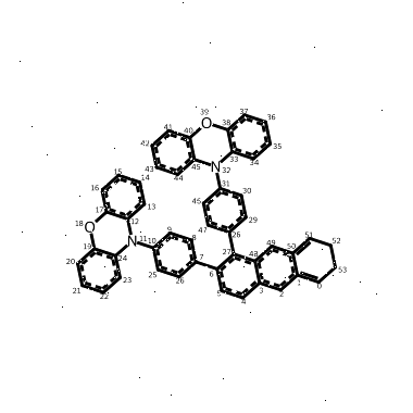 C1=c2cc3ccc(-c4ccc(N5c6ccccc6Oc6ccccc65)cc4)c(-c4ccc(N5c6ccccc6Oc6ccccc65)cc4)c3cc2=CCC1